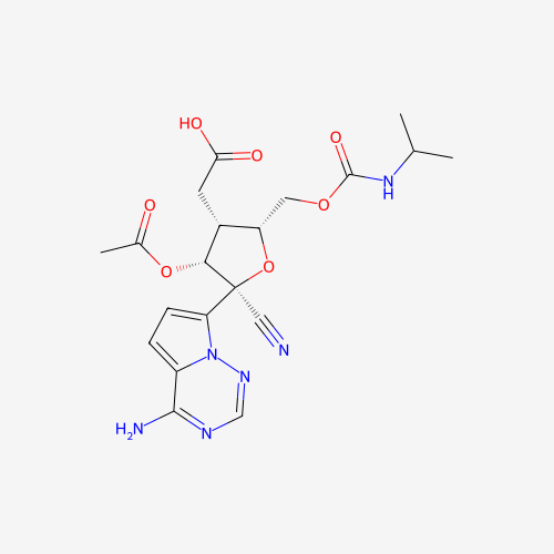 CC(=O)O[C@@H]1[C@H](CC(=O)O)[C@H](COC(=O)NC(C)C)O[C@@]1(C#N)c1ccc2c(N)ncnn12